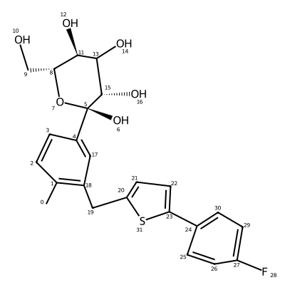 Cc1ccc([C@]2(O)O[C@H](CO)[C@@H](O)C(O)[C@@H]2O)cc1Cc1ccc(-c2ccc(F)cc2)s1